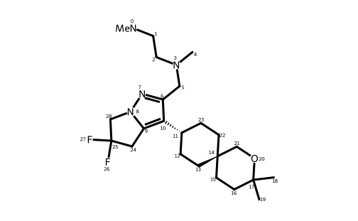 CNCCN(C)Cc1nn2c(c1[C@H]1CC[C@@]3(CCC(C)(C)OC3)CC1)CC(F)(F)C2